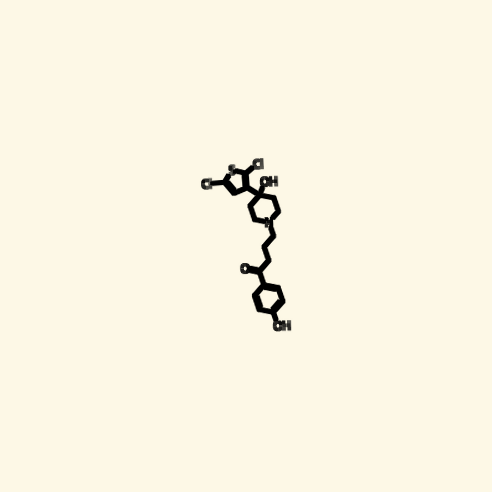 O=C(CCCN1CCC(O)(c2cc(Cl)sc2Cl)CC1)c1ccc(O)cc1